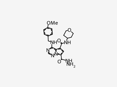 COc1ccc(CNc2ncnn3c(C(=O)NN)cc(C(=O)NC4CCOCC4)c23)cc1